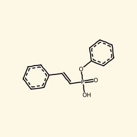 O=P(O)(C=Cc1ccccc1)Oc1ccccc1